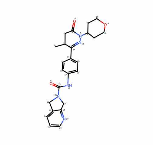 CC1CC(=O)N(C2CCOCC2)N=C1c1ccc(NC(=O)N2Cc3cccnc3C2)cc1